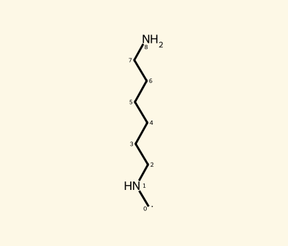 [CH2]NCCCCCCN